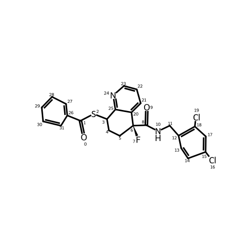 O=C(SC1CC[C@@](F)(C(=O)NCc2ccc(Cl)cc2Cl)c2cccnc21)c1ccccc1